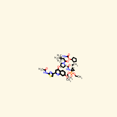 C=C[C@@H]1C[C@]1(NC(=O)[C@@H]1C[C@@H](Oc2cc(-c3csc(NC(C)=O)n3)nc3cc(OC)ccc23)CN1C(=O)[C@@H](NC(=O)OC1CCCC1)C(C)(C)C)P(=O)(OCC)OCC